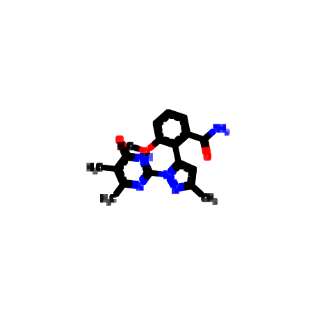 COc1cccc(C(N)=O)c1-c1cc(C)nn1-c1nc(C)c(C)c(=O)[nH]1